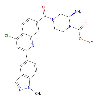 CCCOC(=O)N1CCN(C(=O)c2ccc3c(Cl)cc(-c4ccc5c(cnn5C)c4)nc3c2)C[C@H]1N